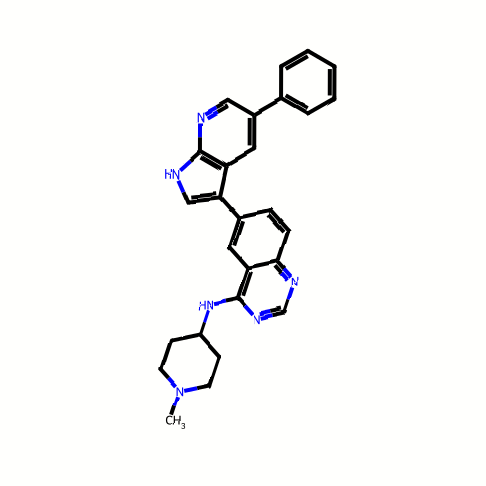 CN1CCC(Nc2ncnc3ccc(-c4c[nH]c5ncc(-c6ccccc6)cc45)cc23)CC1